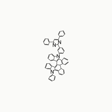 C=CC1=C(C=C)C2C(=c3c(n(-c4ccccc4)c4ccccc34)=C3C=CC=CC32)c2c1n(-c1cccc(-c3nc(-c4ccccc4)cc(-c4ccccc4)n3)c1)c1ccccc21